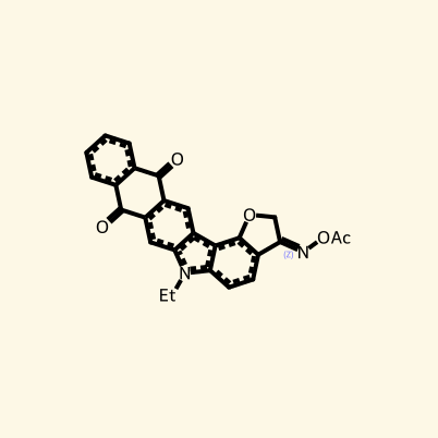 CCn1c2cc3c(cc2c2c4c(ccc21)/C(=N/OC(C)=O)CO4)C(=O)c1ccccc1C3=O